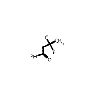 [2H]C(=O)CC(C)(F)F